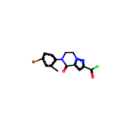 Cc1cc(Br)ccc1N1CCn2nc(C(=O)Cl)cc2C1=O